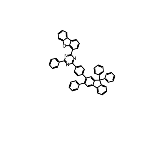 c1ccc(-c2nc(-c3ccc(-c4cc5c(cc4-c4ccccc4)-c4ccccc4C5(c4ccccc4)c4ccccc4)cc3)nc(-c3cccc4c3oc3ccccc34)n2)cc1